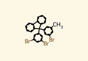 Cc1cc(Br)cc(C2(c3cc(Br)cc(Br)c3)c3ccccc3-c3ccccc32)c1